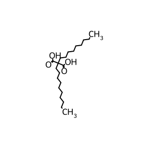 CCCCCCCCCCC(CCCCCCCCC)(C(=O)O)C(=O)O